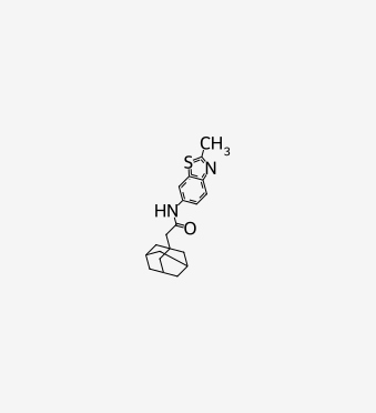 Cc1nc2ccc(NC(=O)CC34CC5CC(CC(C5)C3)C4)cc2s1